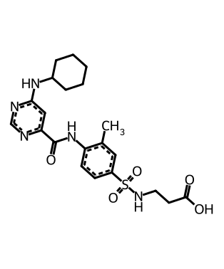 Cc1cc(S(=O)(=O)NCCC(=O)O)ccc1NC(=O)c1cc(NC2CCCCC2)ncn1